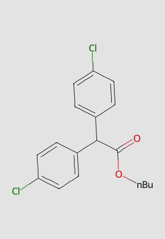 CCCCOC(=O)C(c1ccc(Cl)cc1)c1ccc(Cl)cc1